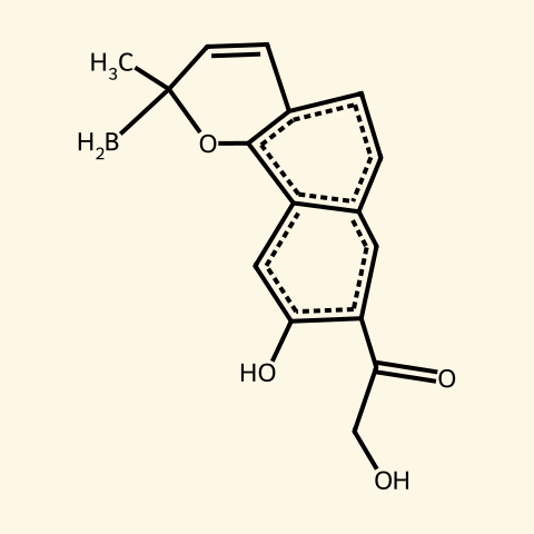 BC1(C)C=Cc2ccc3cc(C(=O)CO)c(O)cc3c2O1